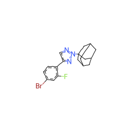 Fc1cc(Br)ccc1-c1cnn(C23CC4CC(CC(C4)C2)C3)n1